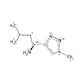 CC(C)C[C@H](N)c1cn(C)nn1